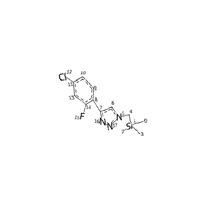 C[Si](C)(C)Cn1cc(-c2ccc(Cl)cc2F)nn1